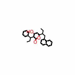 CCC(Cc1cccc2ccccc12)c1cc(O)c(C(CC)c2ccccc2)c(=O)o1